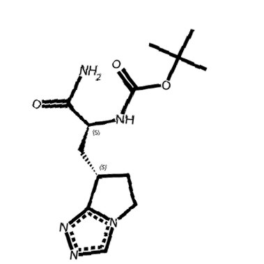 CC(C)(C)OC(=O)N[C@@H](C[C@@H]1CCn2cnnc21)C(N)=O